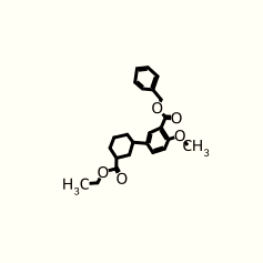 CCOC(=O)C1CCCC(c2ccc(OC)c(C(=O)OCc3ccccc3)c2)C1